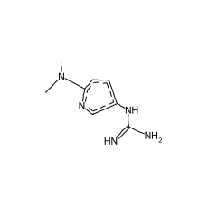 CN(C)c1ccc(NC(=N)N)cn1